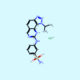 CC(C)n1nnc2ccc3cnc(Nc4cccc(S(N)(=O)=O)c4)nc3c21.Cl